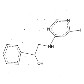 OC(CNc1cc(I)ncn1)c1ccccc1